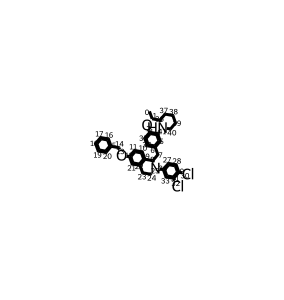 CC(Oc1ccc(CC2c3ccc(OCc4ccccc4)cc3CCN2c2ccc(Cl)c(Cl)c2)cc1)C1CCCCN1